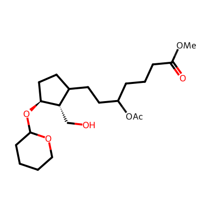 COC(=O)CCCC(CCC1CC[C@H](OC2CCCCO2)[C@H]1CO)OC(C)=O